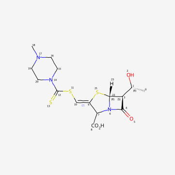 C[C@@H](O)[C@H]1C(=O)N2C(C(=O)O)/C(=C/SC(=S)N3CCN(C)CC3)S[C@H]12